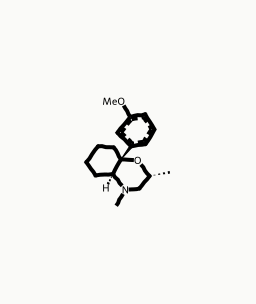 COc1cccc([C@]23CCCC[C@@H]2N(C)C[C@@H](C)O3)c1